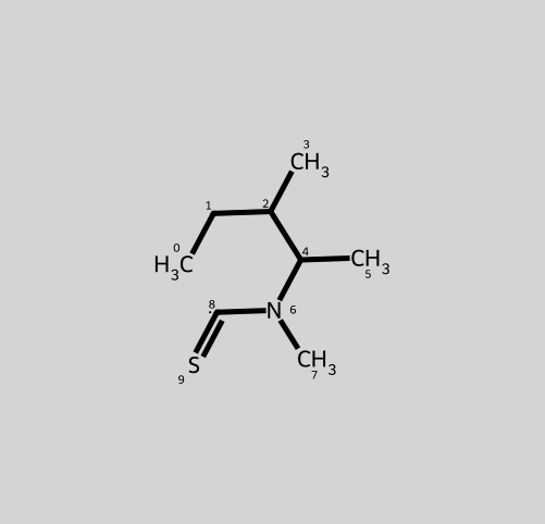 CCC(C)C(C)N(C)[C]=S